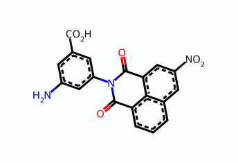 Nc1cc(C(=O)O)cc(N2C(=O)c3cccc4cc([N+](=O)[O-])cc(c34)C2=O)c1